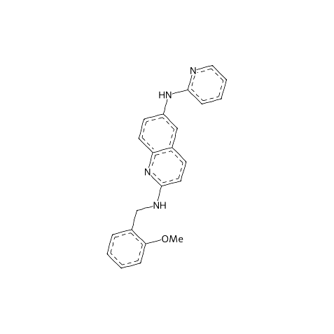 COc1ccccc1CNc1ccc2cc(Nc3ccccn3)ccc2n1